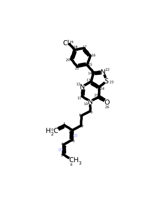 C=C/C(=C\C=C/C)CCCn1cnc2c(-c3ccc(Cl)cc3)nsc2c1=O